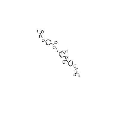 C=CC(=O)OCOc1ccc(C(=O)OCCc2ccc(OC(=O)c3ccc(OCOC(=O)C=C)cc3)c(Cl)c2)cc1